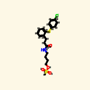 CS(=O)(=O)OCCCCNC(=O)CCc1ccccc1Sc1ccc(Cl)cc1